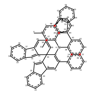 Cc1cc2c(c(N(C3=C(c4ccccc4)C=C4C(=Cc5ccccc54)C34C=CC=C3C4=Cc4ccccc43)c3ccccc3-c3ccccc3)c1C)Cc1ccccc1-2